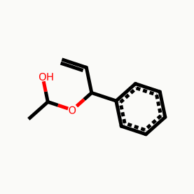 C=CC(OC(C)O)c1ccccc1